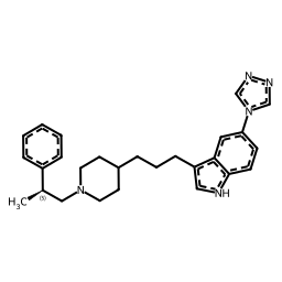 C[C@H](CN1CCC(CCCc2c[nH]c3ccc(-n4cnnc4)cc23)CC1)c1ccccc1